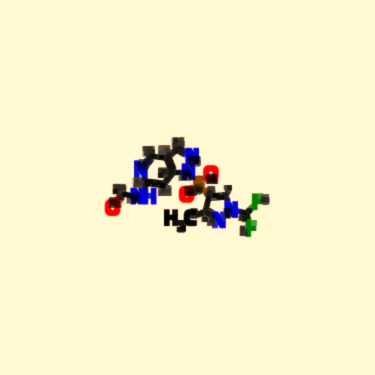 Cc1nn(C(F)F)cc1S(=O)(=O)n1ncc2cnc(NC=O)cc21